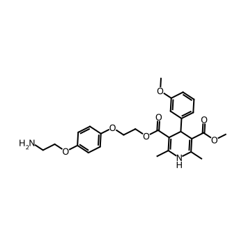 COC(=O)C1=C(C)NC(C)=C(C(=O)OCCOc2ccc(OCCN)cc2)C1c1cccc(OC)c1